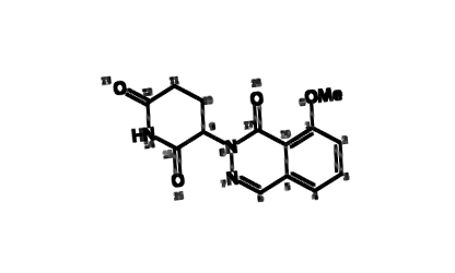 COc1cccc2cnn(C3CCC(=O)NC3=O)c(=O)c12